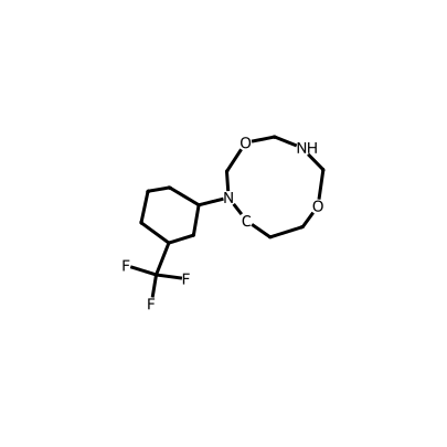 FC(F)(F)C1CCCC(N2CCCOCNCOC2)C1